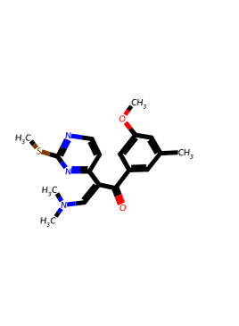 COc1cc(C)cc(C(=O)C(=CN(C)C)c2ccnc(SC)n2)c1